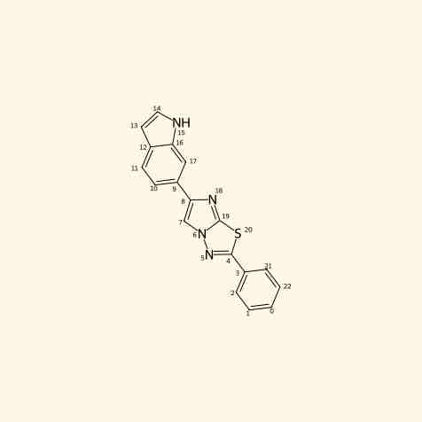 c1ccc(-c2nn3cc(-c4ccc5cc[nH]c5c4)nc3s2)cc1